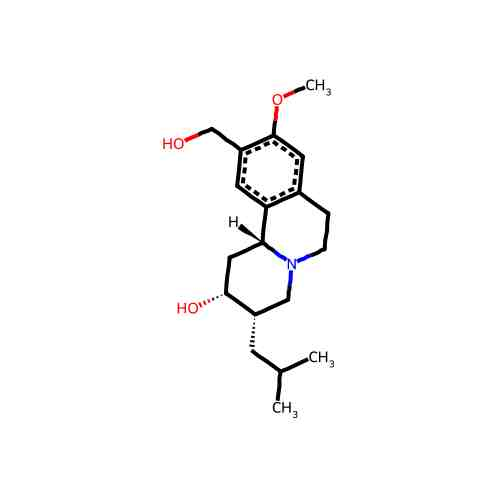 COc1cc2c(cc1CO)[C@H]1C[C@@H](O)[C@@H](CC(C)C)CN1CC2